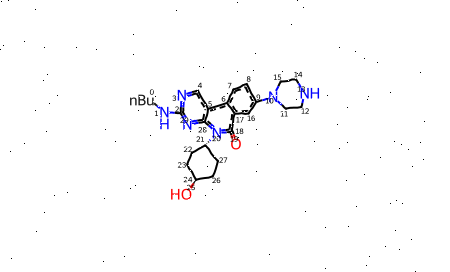 CCCCNc1ncc2c3ccc(N4CCNCC4)cc3c(=O)n([C@H]3CC[C@H](O)CC3)c2n1